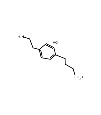 Cl.NCCc1ccc(CCCC(=O)O)cc1